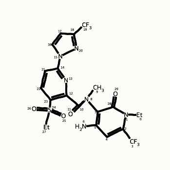 CCn1c(C(F)(F)F)cc(N)c(N(C)C(=O)c2nc(-n3ccc(C(F)(F)F)n3)ccc2S(=O)(=O)CC)c1=O